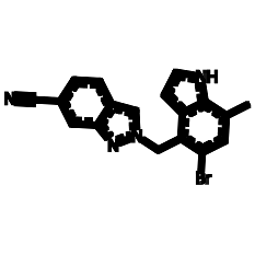 Cc1cc(Br)c(Cn2cc3ccc(C#N)cc3n2)c2cc[nH]c12